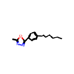 CCCCCCc1ccc(-c2nnc(C)o2)cc1